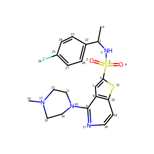 CC(NS(=O)(=O)c1cc2c(N3CCN(C)CC3)nccc2s1)c1ccc(F)cc1